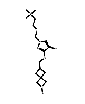 CC(=O)N1CC2(CC(COc3nn(COCC[Si](C)(C)C)cc3[N+](=O)[O-])C2)C1